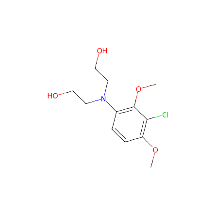 COc1ccc(N(CCO)CCO)c(OC)c1Cl